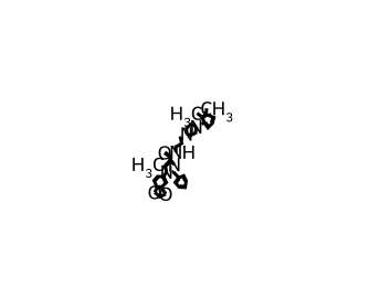 Cc1cccc(N2CCN(CCCNC(=O)c3nc(-c4ccccc4)n(-c4ccc5c(c4)OCO5)c3C)CC2)c1C